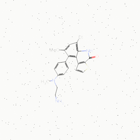 CCc1cc(OC)c(-c2ccc(N(C)CCN)cc2)c2c1[nH]c(=O)c1sccc12